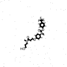 CN(CCCO)C(=O)CCOC1CCC(N(C)C(=O)Oc2ccc(C(F)(F)F)cc2)CC1